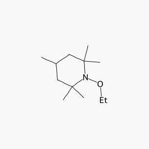 CCON1C(C)(C)CC(C)CC1(C)C